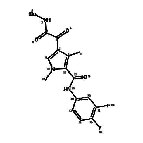 Cc1c(C(=O)C(=O)NC(C)(C)C)cn(C)c1C(=O)Nc1ccc(F)c(F)c1